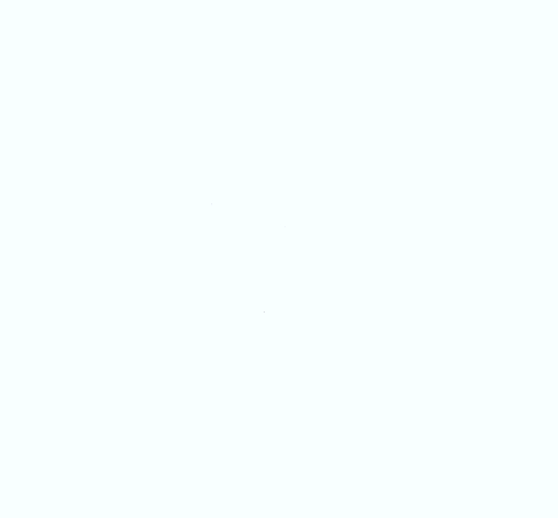 C=CC(=C)C.C=CC(=C)C.[Cr]